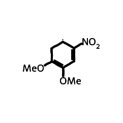 COC1=C(OC)C[CH]C([N+](=O)[O-])=C1